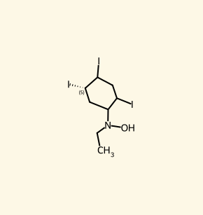 CCN(O)C1C[C@H](I)C(I)CC1I